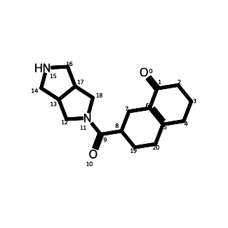 O=C1CCCC2=C1CC(C(=O)N1CC3CNCC3C1)CC2